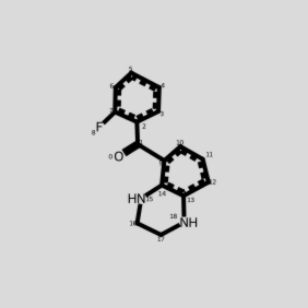 O=C(c1ccccc1F)c1cccc2c1NCCN2